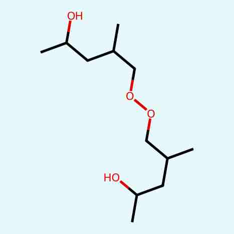 CC(O)CC(C)COOCC(C)CC(C)O